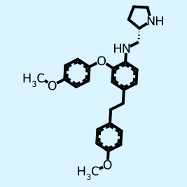 COc1ccc(CCc2ccc(NC[C@@H]3CCCN3)c(Oc3ccc(OC)cc3)c2)cc1